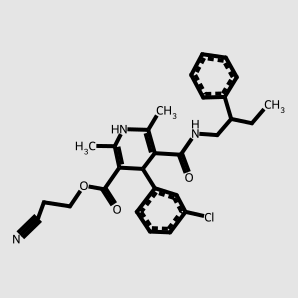 CCC(CNC(=O)C1=C(C)NC(C)=C(C(=O)OCCC#N)C1c1cccc(Cl)c1)c1ccccc1